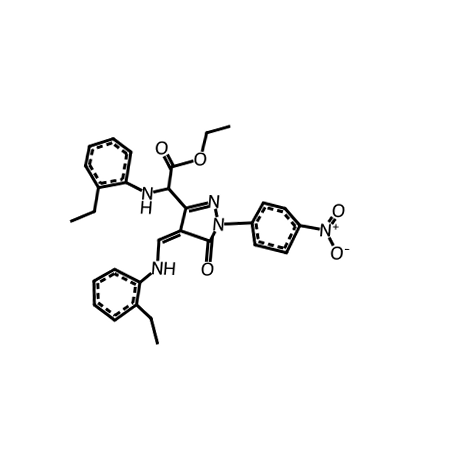 CCOC(=O)C(Nc1ccccc1CC)C1=NN(c2ccc([N+](=O)[O-])cc2)C(=O)C1=CNc1ccccc1CC